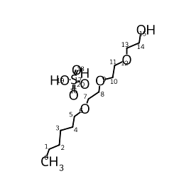 CCCCCCOCCOCCOCCO.O=S(=O)(O)O